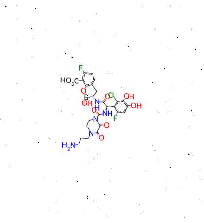 NCCCN1CCN(C(=O)N[C@@H](C(=O)N[C@H]2Cc3ccc(F)c(C(=O)O)c3OB2O)c2c(F)cc(O)c(O)c2Cl)C(=O)C1=O